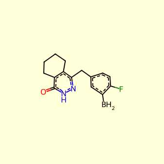 Bc1cc(Cc2n[nH]c(=O)c3c2CCCC3)ccc1F